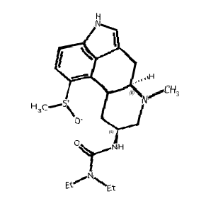 CCN(CC)C(=O)N[C@H]1CC2c3c([S+](C)[O-])ccc4[nH]cc(c34)C[C@H]2N(C)C1